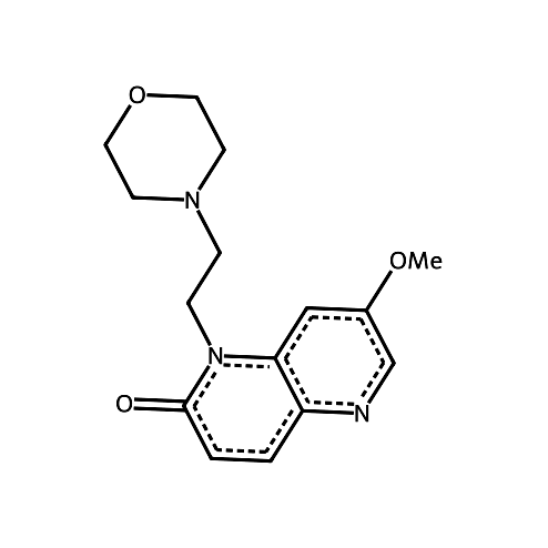 COc1cnc2ccc(=O)n(CCN3CCOCC3)c2c1